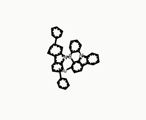 CC(C)(C)c1ccc2c3ccccc3n3c2c1B(n1c2cc(-c4ccccc4)ccc2c2ccc(-c4ccccc4)cc21)c1ccccc1-3